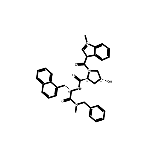 CN(Cc1ccccc1)C(=O)[C@H](Cc1cccc2ccccc12)NC(=O)[C@@H]1C[C@@H](O)CN1C(=O)C1C=[N+](C)c2ccccc21